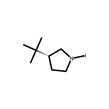 CC(C)(C)[C@H]1CCN(I)C1